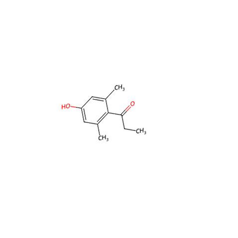 CCC(=O)c1c(C)cc(O)cc1C